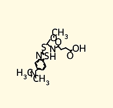 COCC(NC(=O)CCC(=O)O)Sc1nc2cc(N(C)C)ccc2s1